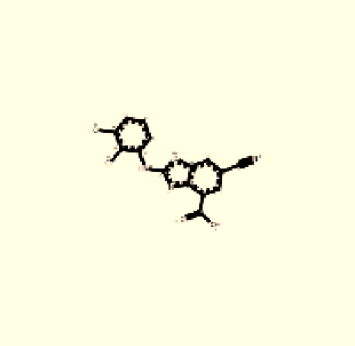 N#Cc1cc(C(=O)O)c2nc(Nc3cccc(Cl)c3Cl)oc2c1